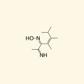 CC(=N)C(=N\O)/C(C)=C(/C)C(C)C